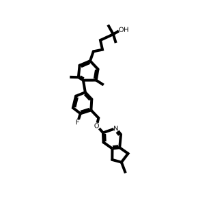 Cc1cc(CCCC(C)(C)O)cc(C)c1-c1ccc(F)c(COc2cc3c(cn2)CC(C)C3)c1